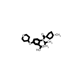 CC(C)N(c1ccc(OC2CCOCC2)cc1C(=O)O)C(=O)[C@H]1CC[C@H](C)CC1